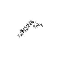 CCN(CC)CCCn1nnc(-c2ccc(-c3ccc(N4C[C@H](CN)OC4=O)cc3F)cn2)n1